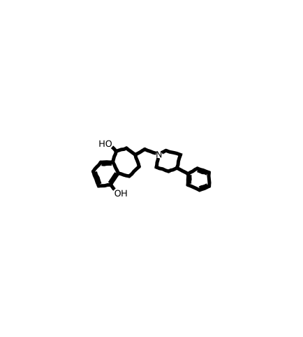 Oc1cccc2c1CCC(CN1CCC(c3ccccc3)CC1)CC2O